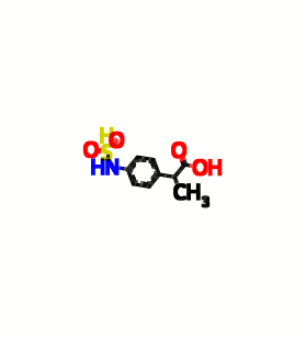 CC(C(=O)O)c1ccc(N[SH](=O)=O)cc1